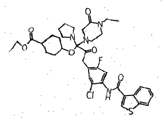 CCOC(=O)C1CCC(OC(C(=O)Cc2cc(Cl)c(NC(=O)c3csc4ccccc34)cc2F)(N2CCCC2)N2CCN(CC)C(=O)C2)CC1